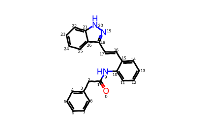 O=C(Cc1ccccc1)Nc1ccccc1C=Cc1n[nH]c2ccccc12